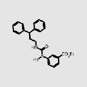 CCOC(=O)c1cccc(N(S)C(=O)NCCC(c2ccccc2)c2ccccc2)c1